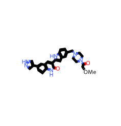 COCC(=O)N1CCN(Cc2ccc3[nH]c(-c4cc5cc(-c6cn[nH]c6)ccc5[nH]c4=O)cc3c2)CC1